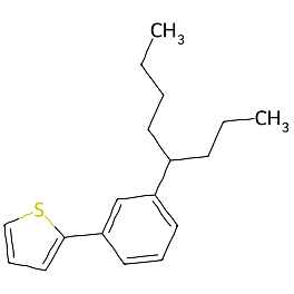 CCCCC(CCC)c1cccc(-c2cccs2)c1